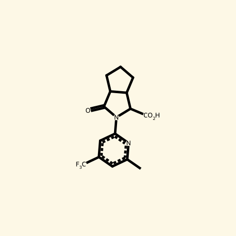 Cc1cc(C(F)(F)F)cc(N2C(=O)C3CCCC3C2C(=O)O)n1